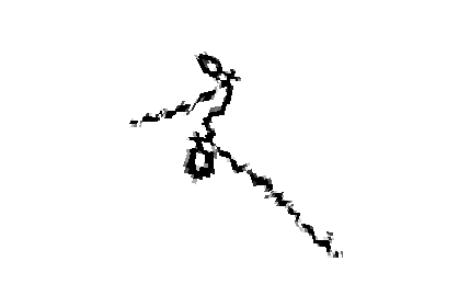 COCCOCCOCC[N+]1=C(\C=C/C=C\C=C2\N(CCOCCOCCOCCOCCC(=O)O)c3ccccc3C2(C)C)C(C)(C)c2ccccc21